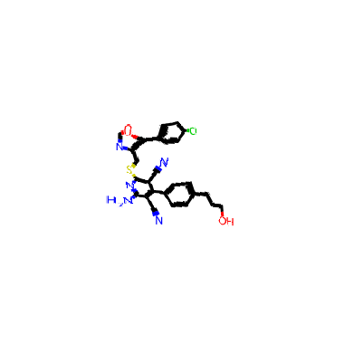 N#Cc1c(N)nc(SCc2ncoc2-c2ccc(Cl)cc2)c(C#N)c1-c1ccc(CCCO)cc1